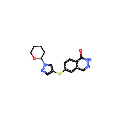 O=c1[nH]ncc2cc(Sc3cnn(C4CCCCO4)c3)ccc12